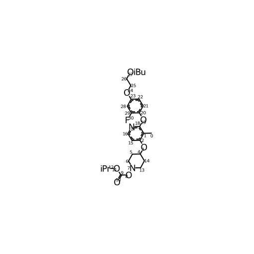 Cc1c(OC2CCN(OC(=O)OC(C)C)CC2)ccnc1Oc1ccc(OCCOCC(C)C)cc1F